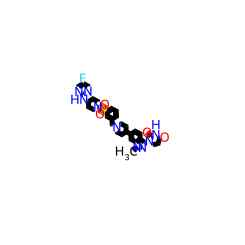 Cn1nc(N2CCC(=O)NC2=O)c2ccc(C3CCN(Cc4cccc(S(=O)(=O)N5CCC(Nc6ncc(F)cn6)CC5)c4)CC3)cc21